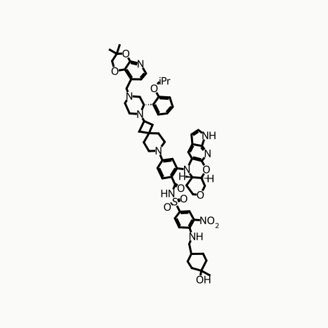 CC(C)Oc1ccccc1[C@H]1CN(Cc2ccnc3c2OCC(C)(C)O3)CCN1C1CC2(CCN(c3ccc(C(=O)NS(=O)(=O)c4ccc(NCC5CCC(C)(O)CC5)c([N+](=O)[O-])c4)c(N4c5cc6cc[nH]c6nc5O[C@H]5COCC[C@@H]54)c3)CC2)C1